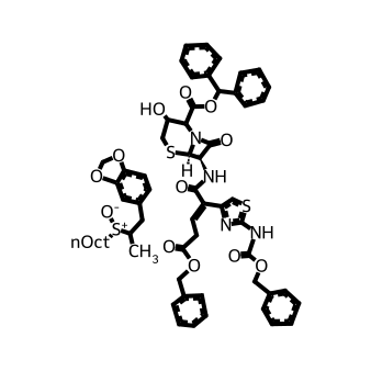 CCCCCCCC[S+]([O-])C(C)Cc1ccc2c(c1)OCO2.O=C(C/C=C(/C(=O)N[C@@H]1C(=O)N2C(C(=O)OC(c3ccccc3)c3ccccc3)C(O)CS[C@H]12)c1csc(NC(=O)OCc2ccccc2)n1)OCc1ccccc1